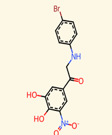 O=C(CNc1ccc(Br)cc1)c1cc(O)c(O)c([N+](=O)[O-])c1